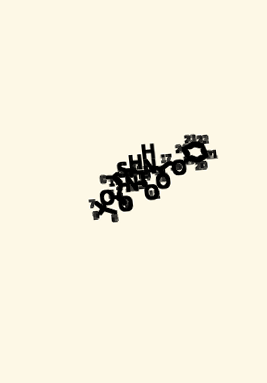 CC1=C(C(=O)OC(C)(C)C)N2C(=O)[C@@H](NC(=O)COc3ccccc3)[C@H]2S1